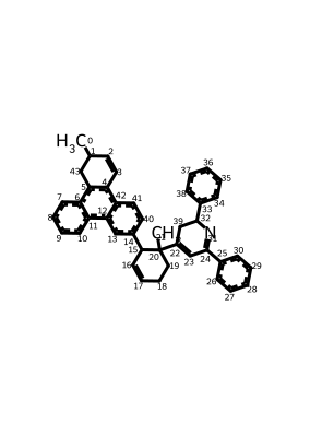 CC1C=Cc2c(c3ccccc3c3cc(C4C=CCCC4(C)C4=CC(c5ccccc5)=NC(c5ccccc5)C4)ccc23)C1